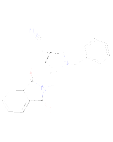 N#C[C@H]1C[C@@H](CN2C(=O)c3ccccc3C2=O)N(Cc2ccccc2)C1